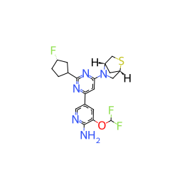 Nc1ncc(-c2cc(N3C[C@@H]4C[C@H]3CS4)nc(C3CC[C@H](F)C3)n2)cc1OC(F)F